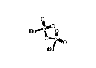 CCC(C)S(=O)(=O)OS(=O)(=O)C(C)CC